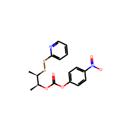 C[C@H](OC(=O)Oc1ccc([N+](=O)[O-])cc1)[C@@H](C)SSc1ccccn1